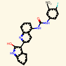 O=C(Nc1ccc(F)c([N+](=O)[O-])c1)Nc1cccc2nc(-c3c(O)[nH]c4ccccc34)ccc12